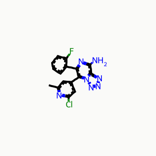 Cc1cc(-c2c(-c3ccccc3F)nc(N)c3nnnn23)cc(Cl)n1